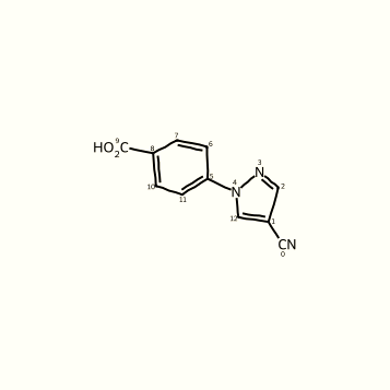 N#Cc1cnn(-c2ccc(C(=O)O)cc2)c1